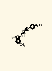 CCOCC1CCC(N2CC(NC(=O)CNc3nn(C)c4ccc(C)cc34)C2)CC1